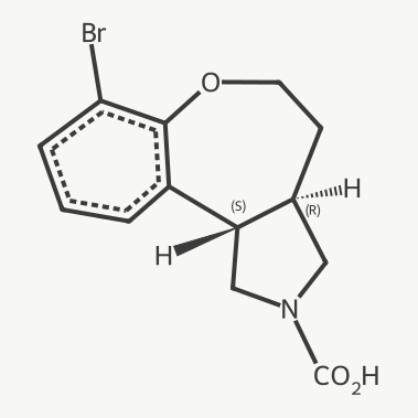 O=C(O)N1C[C@@H]2CCOc3c(Br)cccc3[C@H]2C1